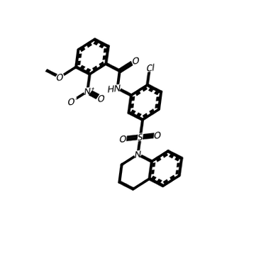 COc1cccc(C(=O)Nc2cc(S(=O)(=O)N3CCCc4ccccc43)ccc2Cl)c1[N+](=O)[O-]